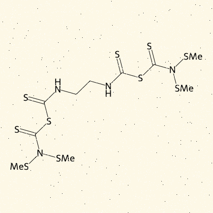 CSN(SC)C(=S)SC(=S)NCCNC(=S)SC(=S)N(SC)SC